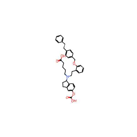 O=C(O)CCCCN(CCc1ccccc1OCc1ccc(CCc2ccccc2)cc1)C1CCc2cc(OC(=O)O)ccc21